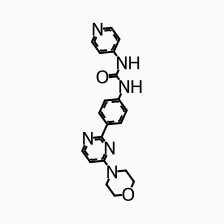 O=C(Nc1ccncc1)Nc1ccc(-c2nccc(N3CCOCC3)n2)cc1